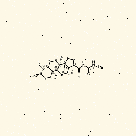 CCCCNC(=O)NC(=O)C1CC[C@H]2[C@@H]3CCC4N(C)C(=O)CC[C@]4(C)[C@@H]3CC[C@]12C